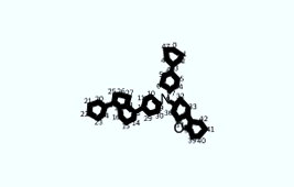 c1ccc(-c2ccc(N(c3ccc(-c4cccc5c(-c6ccccc6)cccc45)cc3)c3ccc4c(c3)oc3ccccc34)cc2)cc1